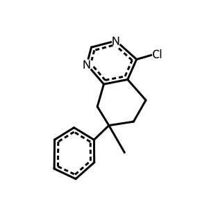 CC1(c2ccccc2)CCc2c(Cl)ncnc2C1